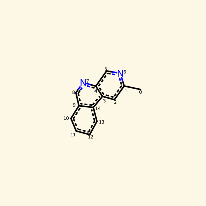 Cc1cc2c(cn1)ncc1ccccc12